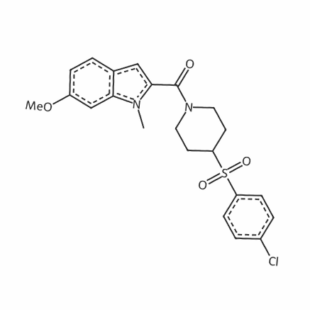 COc1ccc2cc(C(=O)N3CCC(S(=O)(=O)c4ccc(Cl)cc4)CC3)n(C)c2c1